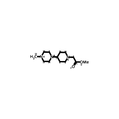 COC(=O)CN1CCC(N2CCN(C)CC2)CC1